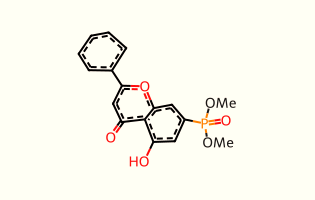 COP(=O)(OC)c1cc(O)c2c(=O)cc(-c3ccccc3)oc2c1